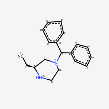 N#CC[C@H]1CN(C(c2ccccc2)c2ccccc2)CCN1